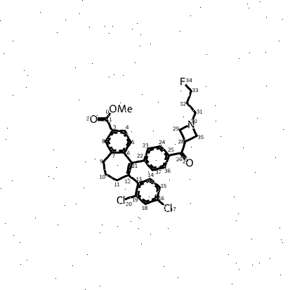 COC(=O)c1ccc2c(c1)CCCC(c1ccc(Cl)cc1Cl)=C2c1ccc(C(=O)C2CN(CCCF)C2)cc1